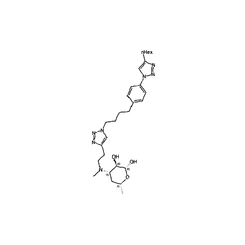 CCCCCCc1cn(-c2ccc(CCCCn3cc(CCN(C)[C@H]4C[C@@H](C)O[C@@H](O)[C@@H]4O)nn3)cc2)nn1